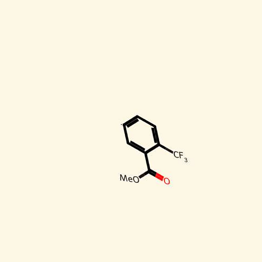 COC(=O)c1c[c]ccc1C(F)(F)F